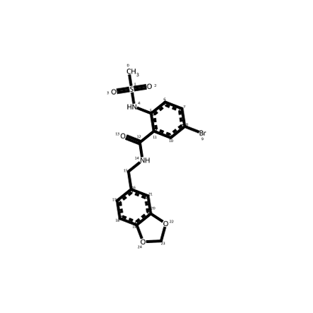 CS(=O)(=O)Nc1ccc(Br)cc1C(=O)NCc1ccc2c(c1)OCO2